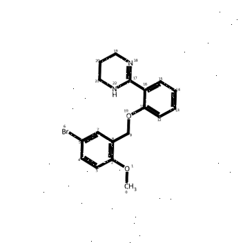 COc1ccc(Br)cc1COc1ccccc1C1=NCCCN1